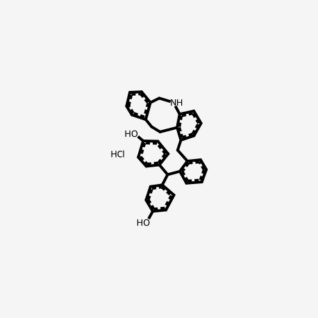 Cl.Oc1ccc(C(c2ccc(O)cc2)c2ccccc2Cc2cccc3c2CCc2ccccc2CN3)cc1